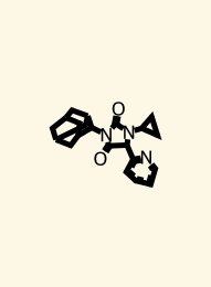 O=C1C(c2ccccn2)N(C2CC2)C(=O)N1C1C2CC3CC(C2)CC1C3